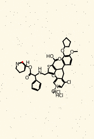 COc1ccc(C(Cc2c(Cl)c[n+]([O-])cc2Cl)c2cc(CNC(C(=O)O[C@H]3CN4CCC3CC4)c3ccccc3)sc2C(=O)O)cc1OC1CCCC1.Cl.Cl